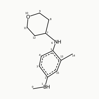 CBc1ccc(NC2CCOCC2)c(C)c1